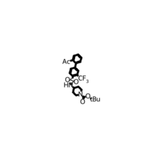 CC(=O)c1ccccc1-c1ccc(S(=O)(=O)NC2CCN(C(=O)OC(C)(C)C)CC2)c(C(F)(F)F)c1